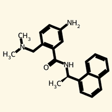 C[C@@H](NC(=O)c1cc(N)ccc1CN(C)C)c1cccc2ccccc12